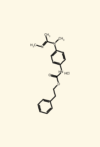 CN=C(C)N(C)c1ccc(NC(=O)OCCc2ccccc2)cc1.Cl